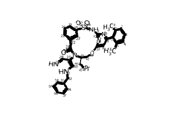 Cc1cccc(C)c1-c1cc2nc(n1)NS(=O)(=O)c1cccc(c1)C(=O)N(/C(C=N)=C/NCc1ccccc1)[C@H](CC(C)C)CO2